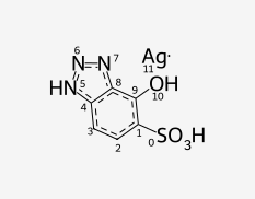 O=S(=O)(O)c1ccc2[nH]nnc2c1O.[Ag]